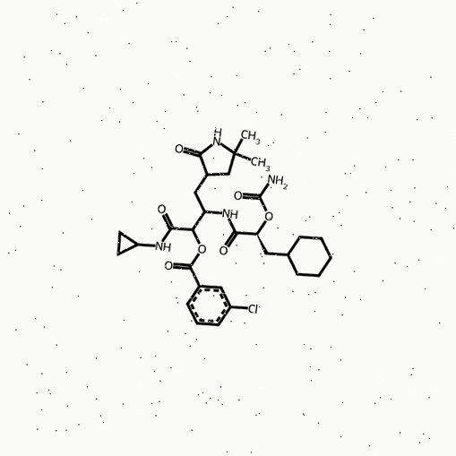 CC1(C)CC(CC(NC(=O)[C@H](CC2CCCCC2)OC(N)=O)C(OC(=O)c2cccc(Cl)c2)C(=O)NC2CC2)C(=O)N1